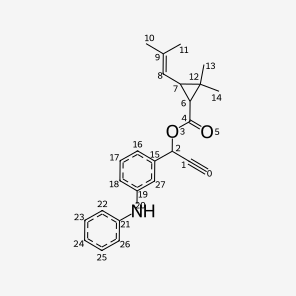 C#CC(OC(=O)C1C(C=C(C)C)C1(C)C)c1cccc(Nc2ccccc2)c1